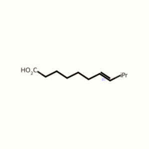 CC(C)/C=C/CCCCCC(=O)O